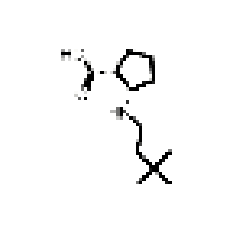 CC(C)(C)CCN[C@H]1CCC[C@H]1C(=O)O